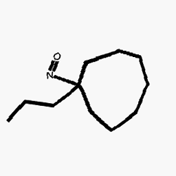 CCCC1(N=O)CCCCCCC1